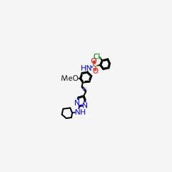 COc1cc(NS(=O)(=O)c2ccccc2Cl)ccc1/C=C/c1cnc(NC2CCCCC2)nc1